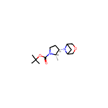 C[C@H]1[C@@H](N2C3COCC2C3)CCN1C(=O)OC(C)(C)C